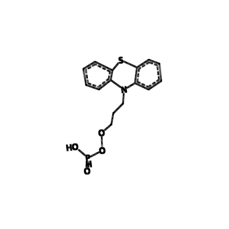 O=[PH](O)OOCCCN1c2ccccc2Sc2ccccc21